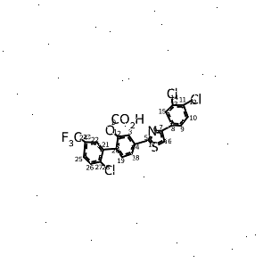 O=C(O)Oc1cc(-c2nc(-c3ccc(Cl)c(Cl)c3)cs2)ccc1-c1cc(C(F)(F)F)ccc1Cl